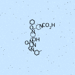 Cc1cccc(-n2ccc3c(=O)n(CC4(O)CCN(C(=O)[C@@H]5CCN(C(=O)O)C[C@H]5c5ccccc5)CC4)cnc32)c1